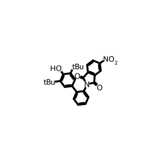 CC(C)(C)c1cc(-c2ccccc2N2C(=O)c3ccc([N+](=O)[O-])cc3C2=O)cc(C(C)(C)C)c1O